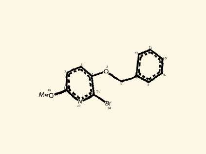 COc1ccc(OCc2ccccc2)c(Br)n1